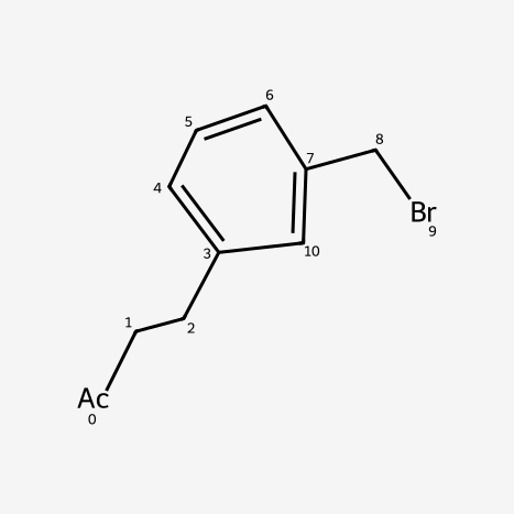 CC(=O)CCc1cccc(CBr)c1